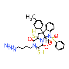 Cc1ccc([C@]23C[C@]4(S)C(=O)N(CCCCN=[N+]=[N-])[C@@H](S)C(=O)N4[C@H]2N(S(=O)(=O)c2ccccc2)c2ccccc23)cc1